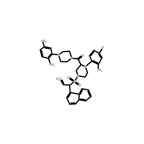 C=CC(c1cccc2ccccc12)S(=O)(=O)N1CCN(c2ccc(F)cc2C)C(C(=O)N2CCN(c3cc(C)ccc3C)CC2)C1